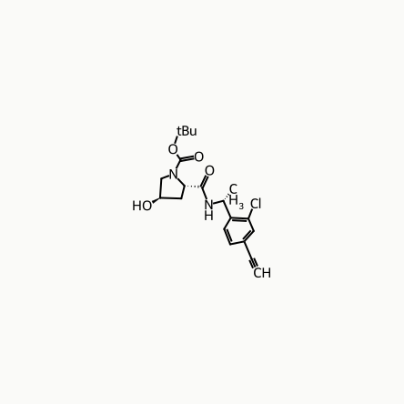 C#Cc1ccc([C@@H](C)NC(=O)[C@@H]2C[C@@H](O)CN2C(=O)OC(C)(C)C)c(Cl)c1